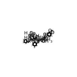 CC[C@](Cc1ccccc1)(NC[C@@](C)(O)CS(=O)(=O)c1ccc2c(c1)OCO2)NC(=O)[C@H](NC(=O)CN1CCCC1)C(C)(C)S(C)(=O)=O